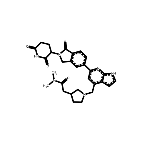 CN(C)C(=O)CC1CCN(Cc2cc(-c3ccc4c(c3)CN(C3CCC(=O)NC3=O)C4=O)nc3[nH]ccc23)C1